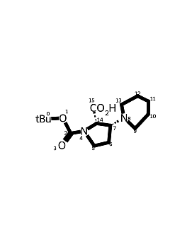 CC(C)(C)OC(=O)N1CC[C@@H](N2CCCCC2)[C@H]1C(=O)O